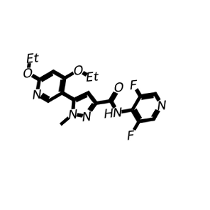 CCOc1cc(OCC)c(-c2cc(C(=O)Nc3c(F)cncc3F)nn2C)cn1